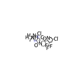 COC1(c2ncc(Cl)cc2C(F)(F)F)CCCN(C(=O)C(/C=C(\N)Cl)=C/N)C1